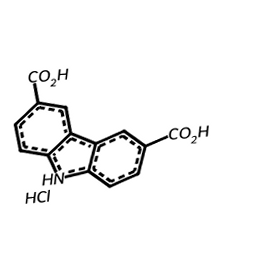 Cl.O=C(O)c1ccc2[nH]c3ccc(C(=O)O)cc3c2c1